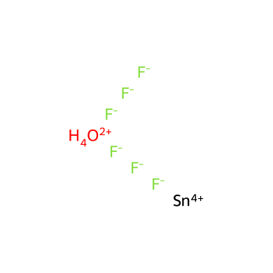 [F-].[F-].[F-].[F-].[F-].[F-].[OH4+2].[Sn+4]